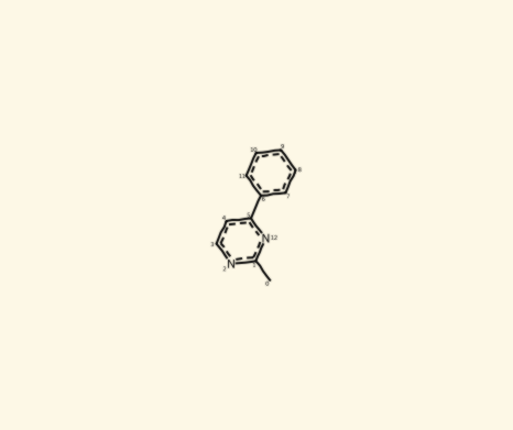 Cc1nccc(-c2c[c]ccc2)n1